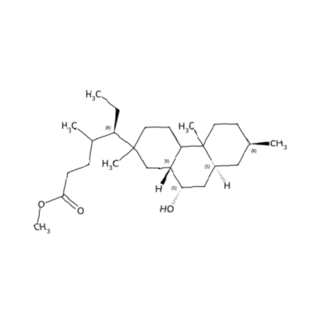 CC[C@H](C(C)CCC(=O)OC)C1(C)CCC2[C@@H](C1)[C@@H](O)C[C@@H]1C[C@H](C)CCC21C